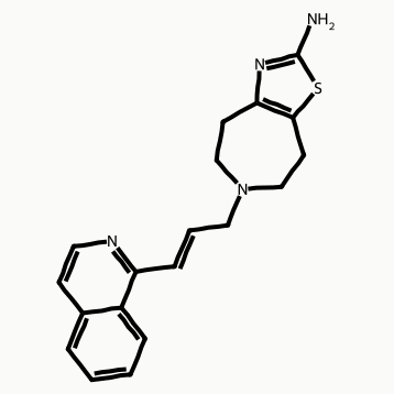 Nc1nc2c(s1)CCN(C/C=C/c1nccc3ccccc13)CC2